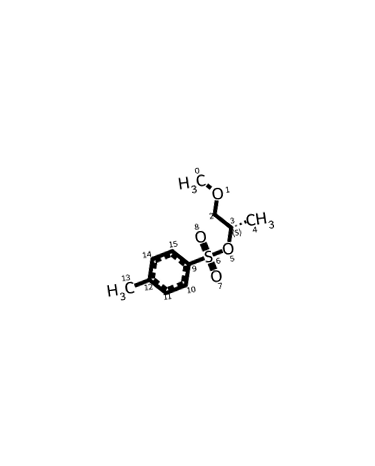 COC[C@H](C)OS(=O)(=O)c1ccc(C)cc1